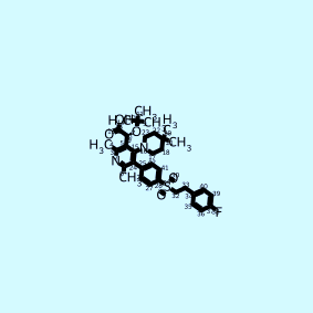 Cc1nc(C)c([C@H](OC(C)(C)C)C(=O)O)c(N2CCC(C)(C)CC2)c1-c1ccc(S(=O)(=O)CCc2ccc(F)cc2)cc1